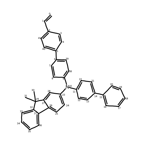 C=Cc1ccc(-c2ccc(N(c3ccc(-c4ccccc4)cc3)c3ccc4c(c3)C(C)(C)c3ccccc3-4)cc2)cc1